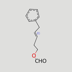 O=COCC/C=C/Cc1ccccc1